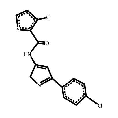 O=C(NC1=CC(c2ccc(Cl)cc2)=NC1)c1sccc1Cl